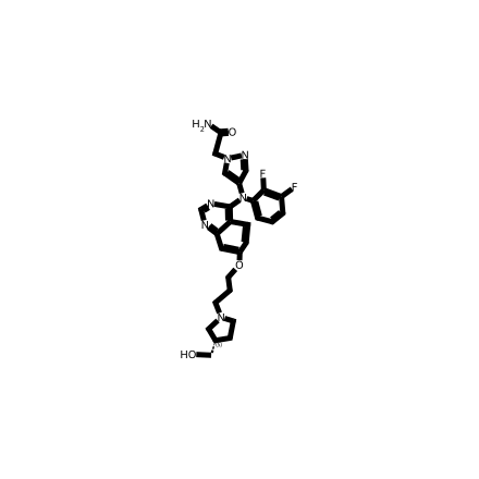 NC(=O)Cn1cc(N(c2cccc(F)c2F)c2ncnc3cc(OCCCN4CC[C@H](CO)C4)ccc23)cn1